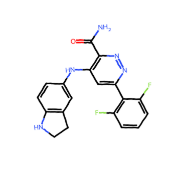 NC(=O)c1nnc(-c2c(F)cccc2F)cc1Nc1ccc2c(c1)CCN2